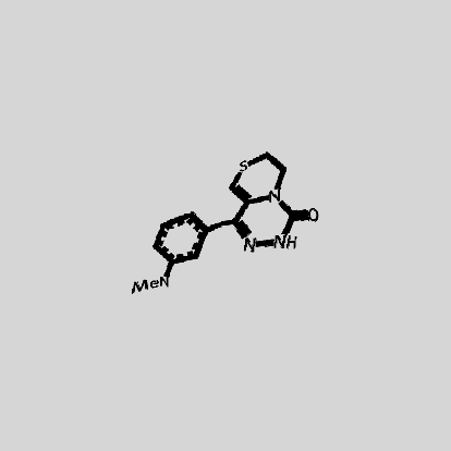 CNc1cccc(C2=NNC(=O)N3CCSC=C23)c1